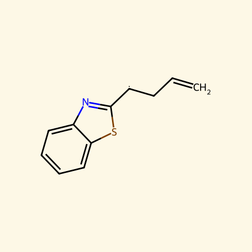 C=CC[CH]c1nc2ccccc2s1